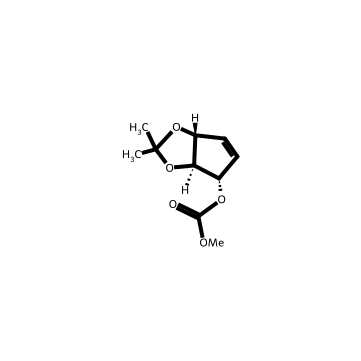 COC(=O)O[C@H]1C=C[C@H]2OC(C)(C)O[C@H]12